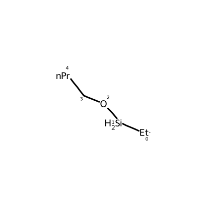 C[CH][SiH2]OCCCC